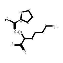 NCCCCC(N)C(=O)O.O=C(O)[C@@H]1CCCN1